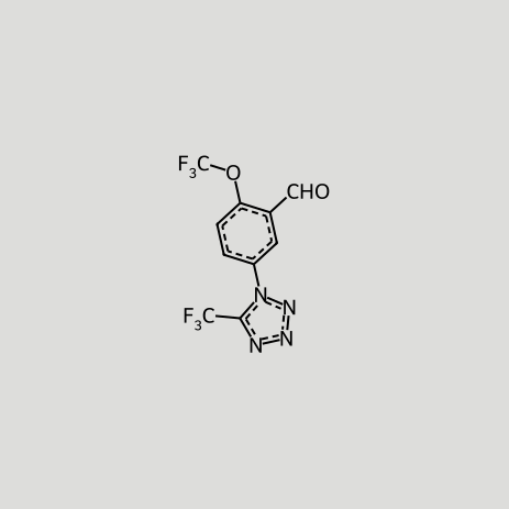 O=Cc1cc(-n2nnnc2C(F)(F)F)ccc1OC(F)(F)F